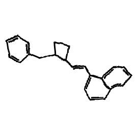 C(=CC1CCC1Cc1ccccc1)c1cccc2ccccc12